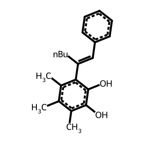 CCCCC(=Cc1ccccc1)c1c(C)c(C)c(C)c(O)c1O